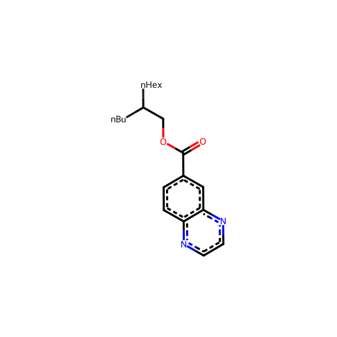 CCCCCCC(CCCC)COC(=O)c1ccc2nccnc2c1